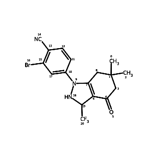 CC1(C)CC(=O)C2=C(C1)N(c1ccc(C#N)c(Br)c1)NC2C(F)(F)F